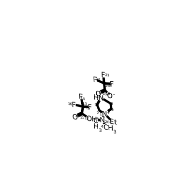 CC[N+]1(N(C)C)CCNCC1.O=C(O)C(F)(F)F.O=C([O-])C(F)(F)F